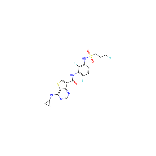 O=C(Nc1c(F)ccc(NS(=O)(=O)CCCF)c1F)c1csc2c(NC3CC3)ncnc12